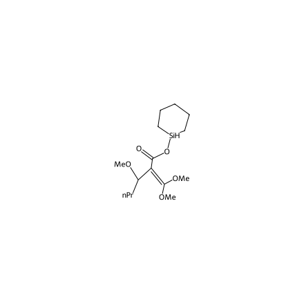 CCCC(OC)C(C(=O)O[SiH]1CCCCC1)=C(OC)OC